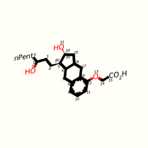 CCCCCC(O)CC[C@@H]1C2Cc3cccc(OCC(=O)O)c3CC2C[C@H]1O